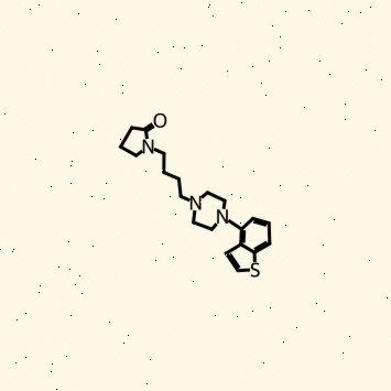 O=C1CCCN1CCCCN1CCN(c2cccc3sccc23)CC1